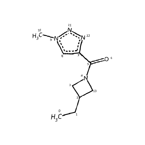 CCC1CN(C(=O)c2cn(C)nn2)C1